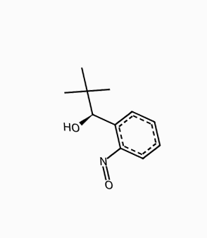 CC(C)(C)[C@H](O)c1ccccc1N=O